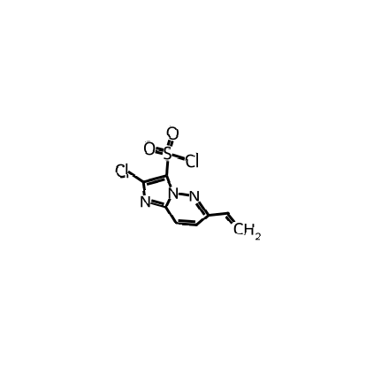 C=Cc1ccc2nc(Cl)c(S(=O)(=O)Cl)n2n1